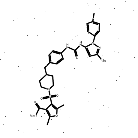 COC(=O)c1c(C)oc(C)c1S(=O)(=O)N1CCC(Cc2ccc(NC(=O)Nc3cc(C(C)(C)C)nn3-c3ccc(C)cc3)cc2)CC1